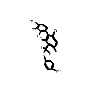 CCCc1ccc(OC(F)(F)c2c(F)cc([O])c(-c3ccc(CCC)c(F)c3F)c2F)cc1